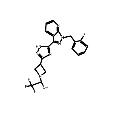 OC(N1CC(c2n[nH]c(-c3nn(Cc4ccccc4F)c4ncccc34)n2)C1)C(F)(F)F